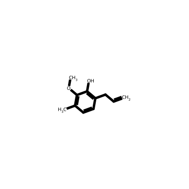 C=CCc1ccc(C)c(OC)c1O